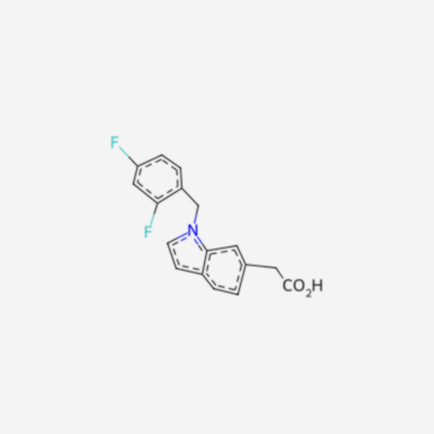 O=C(O)Cc1ccc2ccn(Cc3ccc(F)cc3F)c2c1